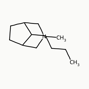 CCCCC1C2CCC1CN(C)C2